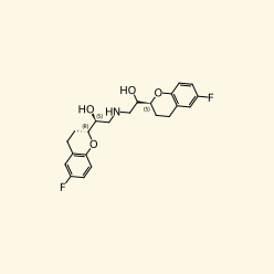 OC(CNC[C@H](O)[C@H]1CCc2cc(F)ccc2O1)[C@@H]1CCc2cc(F)ccc2O1